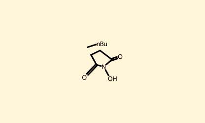 CCCCC.O=C1CCC(=O)N1O